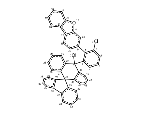 OC1(c2cccc(Cl)c2-c2ccc3c(c2)oc2ccccc23)c2ccccc2C2(c3ccccc3-c3ccccc32)c2ccccc21